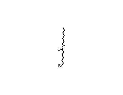 CCCCCCCOC(=O)CCCCCBr